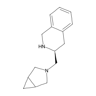 c1ccc2c(c1)CN[C@H](CN1CC3CC3C1)C2